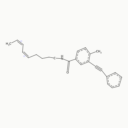 C/C=C\C=C/CCCCNC(=O)c1ccc(C)c(C#Cc2ccccc2)c1